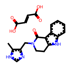 Cc1[nH]cnc1CN1CCc2[nH]c3ccccc3c2C1=O.O=C(O)C=CC(=O)O